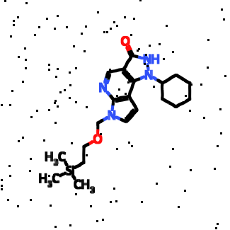 C[Si](C)(C)CCOCn1ccc2c1ncc1c(=O)[nH]n(C3CCCCC3)c12